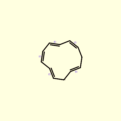 [CH]1/C=C/C=C\C=C\C=C/C/C=C/1